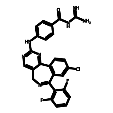 N=C(N)NC(=O)c1ccc(Nc2ncc3c(n2)-c2ccc(Cl)cc2C(c2c(F)cccc2F)=NC3)cc1